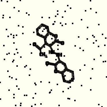 CC(=O)c1c(NNc2cc3ccccc3oc2=O)c(=O)oc2ccccc12